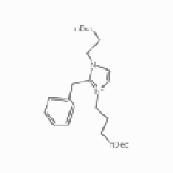 CCCCCCCCCCCCC[n+]1ccn(CCCCCCCCCCCC)c1Cc1ccccc1